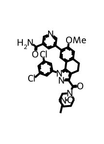 COc1cc2c(cc1-c1cncc(C(N)=O)c1)-c1c(c(C(=O)N3CC4CCC3CN4C)nn1-c1cc(Cl)cc(Cl)c1)CC2